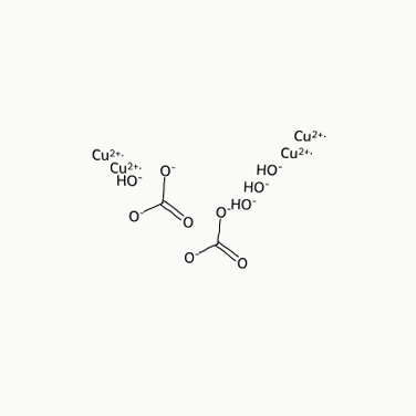 O=C([O-])[O-].O=C([O-])[O-].[Cu+2].[Cu+2].[Cu+2].[Cu+2].[OH-].[OH-].[OH-].[OH-]